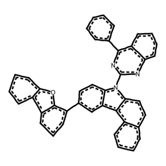 c1ccc(-c2nc(-n3c4ccc(-c5cccc6c5oc5ccccc56)cc4c4c5ccccc5ccc43)nc3ccccc23)cc1